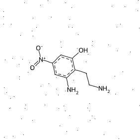 NCCc1c(N)cc([N+](=O)[O-])cc1O